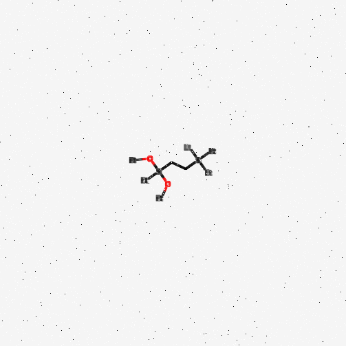 CCO[Si](CC)(CC[Si](CC)(CC)CC)OCC